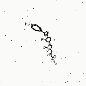 CC(=O)NCC1CN(c2ccc(-n3cc(-c4ccc(C)cc4)cn3)c(F)c2)C(=O)O1